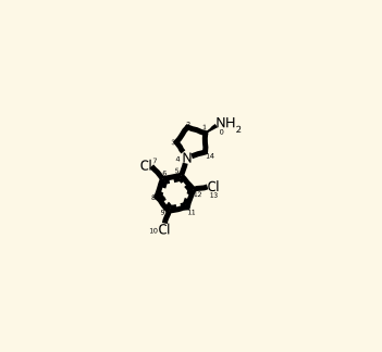 N[C@@H]1CCN(c2c(Cl)cc(Cl)cc2Cl)C1